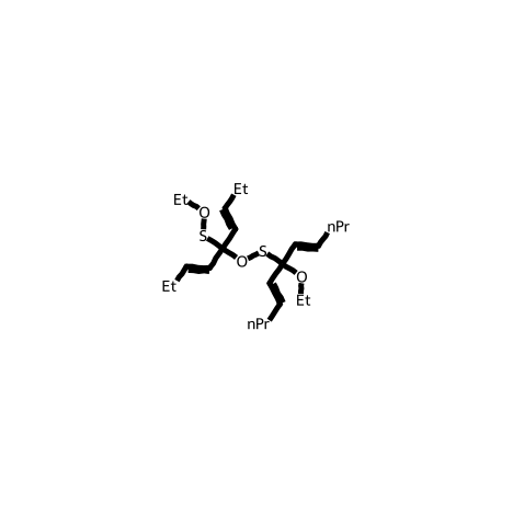 CCC=CC(C=CCC)(OSC(C=CCCC)(C=CCCC)OCC)SOCC